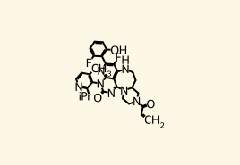 C=CC(=O)N1CCN2c3nc(=O)n(-c4c(C)ccnc4C(C)C)c4nc(-c5c(O)cccc5F)c(F)c(c34)NCCC2C1